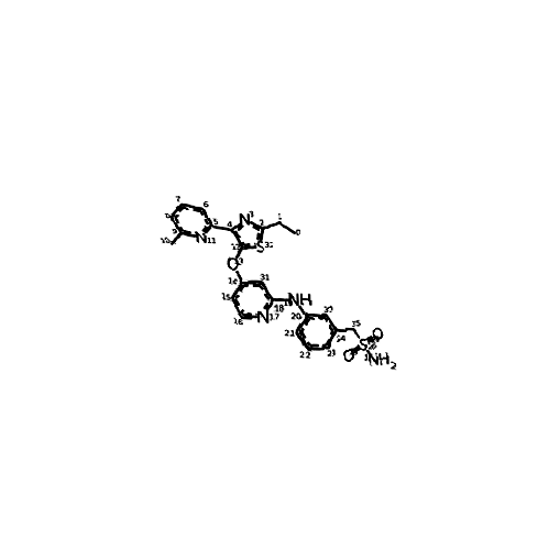 CCc1nc(-c2cccc(C)n2)c(Oc2ccnc(Nc3cccc(CS(N)(=O)=O)c3)c2)s1